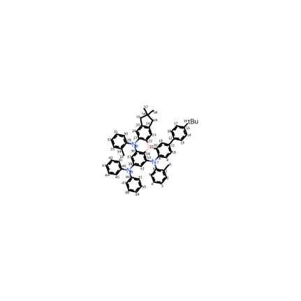 Cc1ccccc1N1c2ccc(-c3ccc(C(C)(C)C)cc3)cc2B2c3cc4c(cc3N(c3ccccc3C)c3cc(N(c5ccccc5)c5ccccc5)cc1c32)CC(C)(C)C4